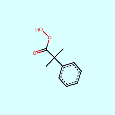 CC(C)(C(=O)OO)c1ccccc1